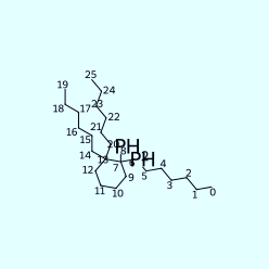 CCCCCCPC1(P)CCCCC1(CCCCCC)CCCCCC